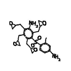 Cc1cc(N)ccc1S(=O)(=O)c1c(CC2CO2)c(N)c(CC2CO2)c(CC2CO2)c1CC1CO1